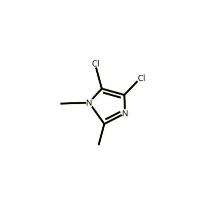 Cc1nc(Cl)c(Cl)n1C